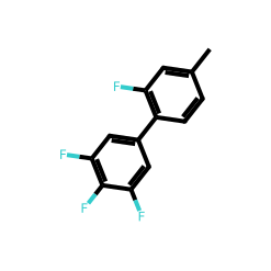 Cc1ccc(-c2cc(F)c(F)c(F)c2)c(F)c1